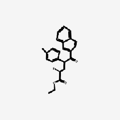 CCOC(=O)[C@@H](F)CC(C(=O)c1ccc2ccccc2c1)c1ccc(C)cc1